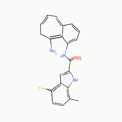 Cc1ccc(F)c2cc(C(=O)Nc3cccc4c3=C(N)CC=CC=4)[nH]c12